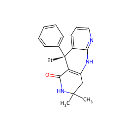 CC[C@]1(c2ccccc2)C2=C(CC(C)(C)NC2=O)Nc2ncccc21